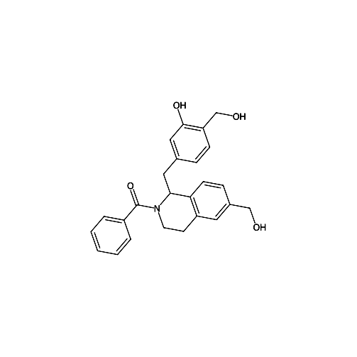 O=C(c1ccccc1)N1CCc2cc(CO)ccc2C1Cc1ccc(CO)c(O)c1